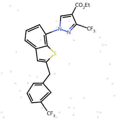 CCOC(=O)c1cn(-c2cccc3cc(Cc4cccc(C(F)(F)F)c4)sc23)nc1C(F)(F)F